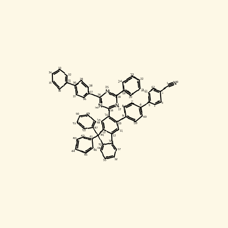 N#Cc1ccc(-c2ccc(-c3cc4c(cc3-c3nc(-c5ccccc5)nc(-c5ccc(-c6ccccc6)cc5)n3)C(c3ccccc3)(c3ccccc3)c3ccccc3-4)cc2)cc1